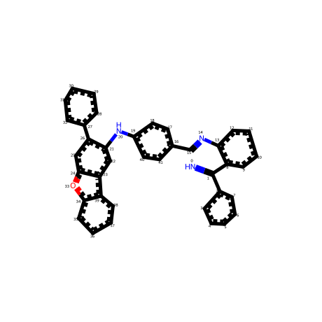 N=C(c1ccccc1)c1ccccc1/N=C/c1ccc(Nc2cc3c(cc2-c2ccccc2)oc2ccccc23)cc1